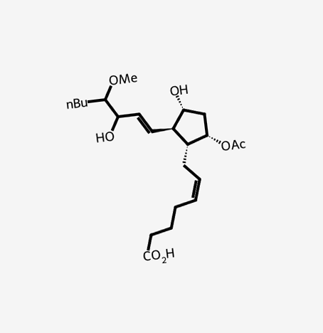 CCCCC(OC)C(O)/C=C/[C@@H]1[C@@H](C/C=C\CCCC(=O)O)[C@@H](OC(C)=O)C[C@H]1O